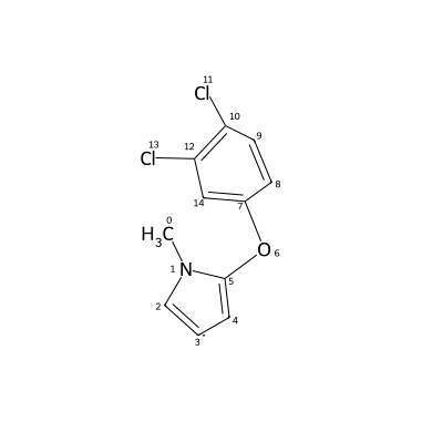 Cn1c[c]cc1Oc1ccc(Cl)c(Cl)c1